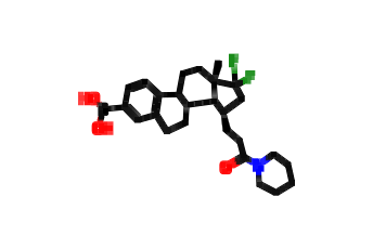 C[C@]12CCC3c4ccc(B(O)O)cc4CCC3C1[C@H](CCC(=O)N1CCCCC1)CC2(F)F